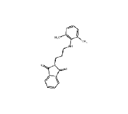 Cc1cccc(C)c1NCCCN1C(=O)c2ccccc2C1=O